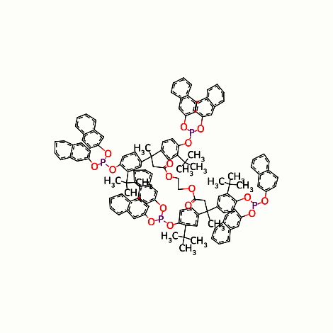 CC(C)(C)c1cc(C(C)(CC(=O)OCCOC(=O)CC(C)(c2ccc(OP(Oc3ccc4ccccc4c3)Oc3ccc4ccccc4c3)c(C(C)(C)C)c2)c2ccc(OP(Oc3ccc4ccccc4c3)Oc3ccc4ccccc4c3)c(C(C)(C)C)c2)c2ccc(OP(Oc3ccc4ccccc4c3)Oc3ccc4ccccc4c3)c(C(C)(C)C)c2)ccc1OP(Oc1ccc2ccccc2c1)Oc1ccc2ccccc2c1